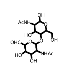 CC(=O)NC1C(O)OC(CO)C(OC2OC(C=O)C(O)C(O)C2NC(C)=O)C1O